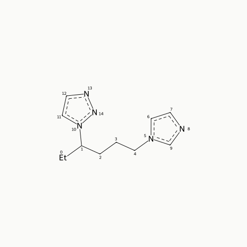 [CH2]CC(CCCn1ccnc1)n1ccnn1